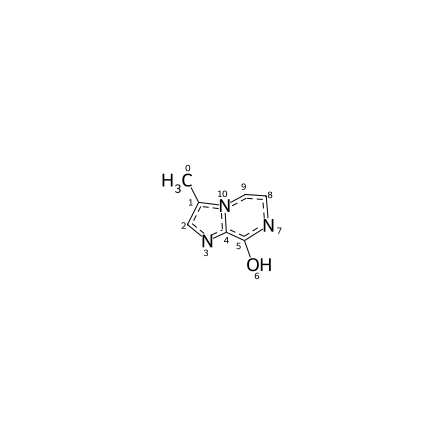 Cc1cnc2c(O)nccn12